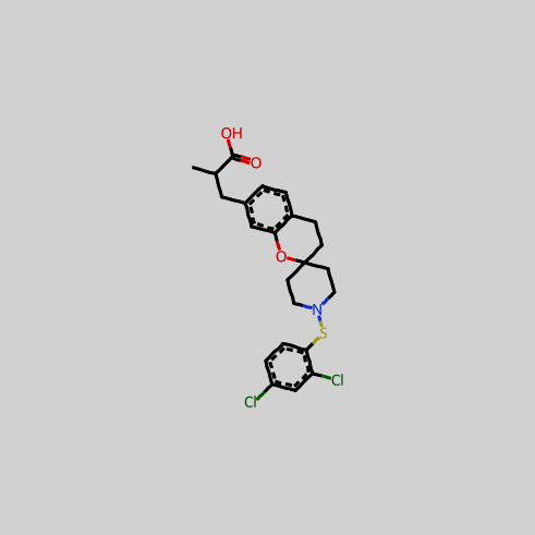 CC(Cc1ccc2c(c1)OC1(CC2)CCN(Sc2ccc(Cl)cc2Cl)CC1)C(=O)O